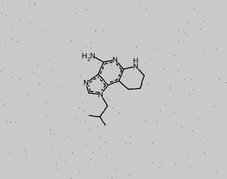 CC(C)Cn1cnc2c(N)nc3c(c21)CCCN3